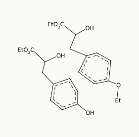 CCOC(=O)C(O)Cc1ccc(O)cc1.CCOC(=O)C(O)Cc1ccc(OCC)cc1